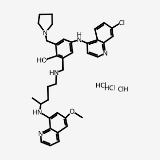 COc1cc(NC(C)CCCNCc2cc(Nc3ccnc4cc(Cl)ccc34)cc(CN3CCCC3)c2O)c2ncccc2c1.Cl.Cl.Cl